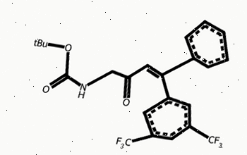 CC(C)(C)OC(=O)NCC(=O)C=C(c1ccccc1)c1cc(C(F)(F)F)cc(C(F)(F)F)c1